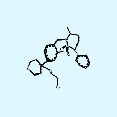 C[C@H]1CC[C@H](c2ccccc2)S(=O)(=O)N1Cc1ccc(C2(OCCO)CCOCC2)cc1I